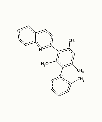 Cc1cc(C)c(-[n+]2ccccc2C)c(C)c1-c1ccc2ccccc2n1